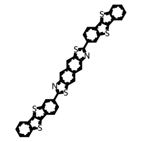 c1ccc2c(c1)sc1c3ccc(-c4nc5cc6cc7sc(-c8ccc9c(c8)sc8c%10ccccc%10sc98)nc7cc6cc5s4)cc3sc21